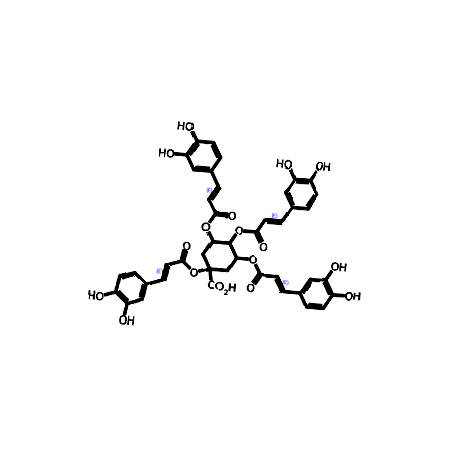 O=C(/C=C/c1ccc(O)c(O)c1)OC1CC(OC(=O)/C=C/c2ccc(O)c(O)c2)(C(=O)O)CC(OC(=O)/C=C/c2ccc(O)c(O)c2)C1OC(=O)/C=C/c1ccc(O)c(O)c1